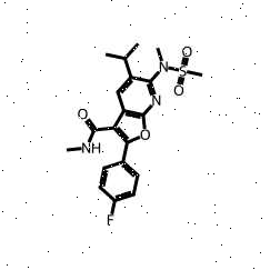 CNC(=O)c1c(-c2ccc(F)cc2)oc2nc(N(C)S(C)(=O)=O)c(C(C)C)cc12